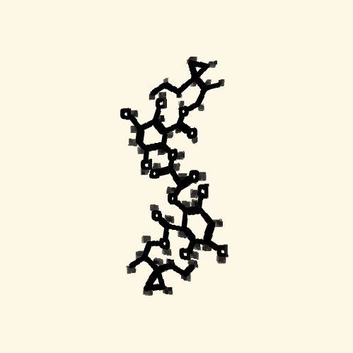 CCCC1(C(C)COC(=O)c2c(Cl)c(Cl)cc(Cl)c2OC(=O)C(=O)Oc2c(Cl)cc(Cl)c(Cl)c2C(=O)OCC(C)C2(CCC)CC2)CC1